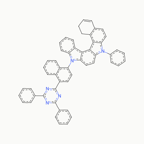 C1=Cc2ccc3c(c2CC1)c1c2c4ccccc4n(-c4ccc(-c5nc(-c6ccccc6)nc(-c6ccccc6)n5)c5ccccc45)c2ccc1n3-c1ccccc1